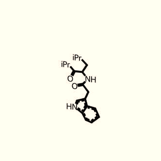 CC(C)CC(NC(=O)Cc1c[nH]c2ccccc12)C(=O)C(C)C